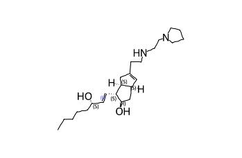 CCCCC[C@H](O)/C=C/[C@@H]1[C@H]2CC(CCNCCN3CCCC3)=C[C@H]2C[C@H]1O